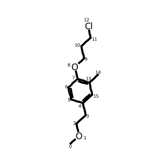 COCCc1ccc(OCCCCl)c(C)c1